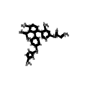 C=CC(=O)Nc1cc(C)c(-c2ccc(N)c(C(=N)N)c2-c2ccc(Oc3nc(C)cs3)cc2)cn1